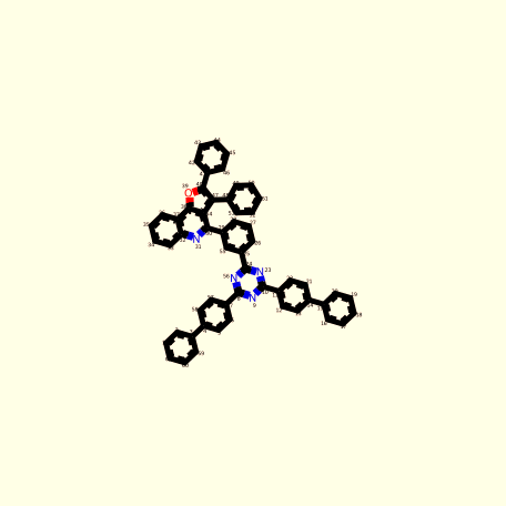 c1ccc(-c2ccc(-c3nc(-c4ccc(-c5ccccc5)cc4)nc(-c4cccc(-c5nc6ccccc6c6oc(-c7ccccc7)c(-c7ccccc7)c56)c4)n3)cc2)cc1